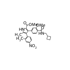 COC(=O)c1[nH]c(C)c(-c2ccc([N+](=O)[O-])cc2C)c1-c1ccc(C(=O)NCC2CCC2)c(OC)c1